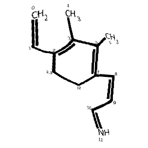 C=CC1=C(C)C(C)=C(/C=C\C=N)CC1